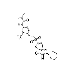 CN(C)C(=O)Nc1ccc(CCS(=O)(=O)N2CCC3(CC2)N=C(C2CCCCC2)NC3=O)c(C(F)(F)F)c1